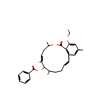 COCOc1cc(OC)cc2c1C(=O)OC(C)C/C=C(/F)C(OC(=O)c1ccccc1)C(OC)[C@@H](OC)C/C=C/2